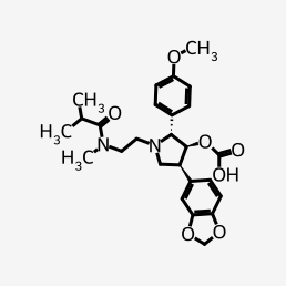 COc1ccc([C@@H]2[C@@H](OC(=O)O)[C@@H](c3ccc4c(c3)OCO4)CN2CCN(C)C(=O)C(C)C)cc1